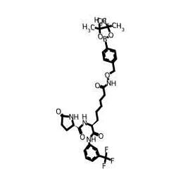 CC1(C)OB(c2ccc(CONC(=O)CCCCC[C@H](NC(=O)[C@@H]3CCC(=O)N3)C(=O)Nc3cccc(C(F)(F)F)c3)cc2)OC1(C)C